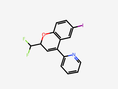 FC(F)C1C=C(c2ccccn2)c2cc(I)ccc2O1